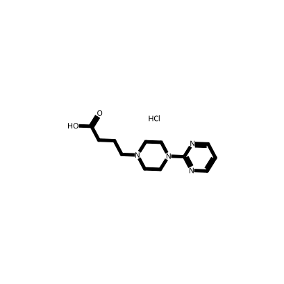 Cl.O=C(O)CCCN1CCN(c2ncccn2)CC1